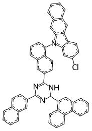 Clc1ccc2c3cc4ccccc4cc3n(-c3cccc4cc(C5=NC(c6ccc7ccccc7c6)=NC(c6cc7ccccc7c7ccccc67)N5)ccc34)c2c1